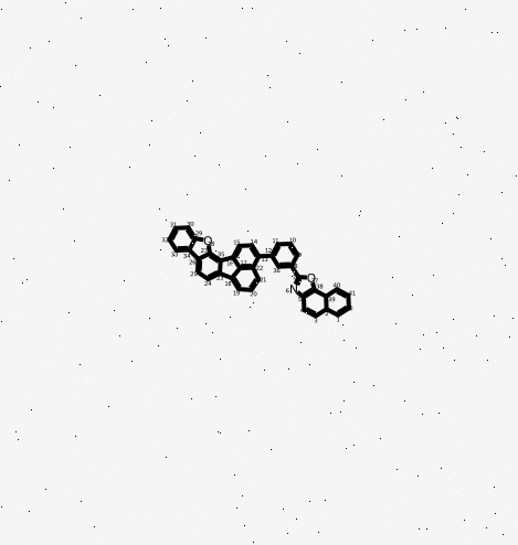 C1=CC2C=Cc3nc(-c4cccc(-c5ccc6c7c(cccc57)-c5ccc7c(oc8ccccc87)c5-6)c4)oc3C2C=C1